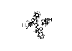 C[C@H](N)C(=O)N[C@H](/C=C/C(=O)NC1CCOCC1)CCc1ccccc1.O=C(O)C(F)(F)F